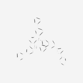 c1ccc(-c2ccc3c(c2)c2ccc4c5cc(-c6ccccc6)ccc5n(-c5ccc6cc(-c7ccc(-c8ccccc8)s7)ccc6c5)c4c2n3-c2ccccc2)cc1